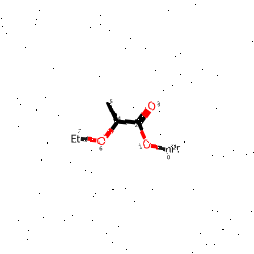 CCCOC(=O)C(C)OCC